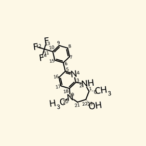 C[C@H]1Nc2nc(-c3cccc(C(F)(F)F)c3)ccc2N(C)C[C@H]1O